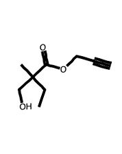 C#CCOC(=O)C(C)(CC)CO